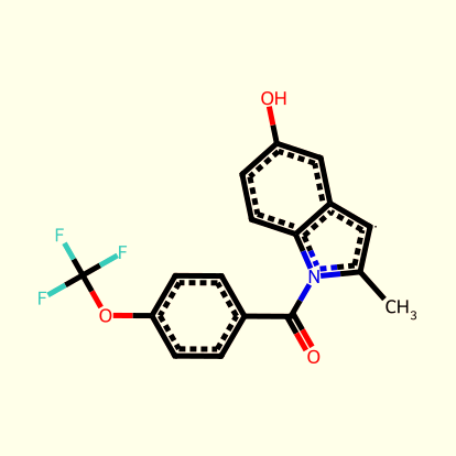 Cc1[c]c2cc(O)ccc2n1C(=O)c1ccc(OC(F)(F)F)cc1